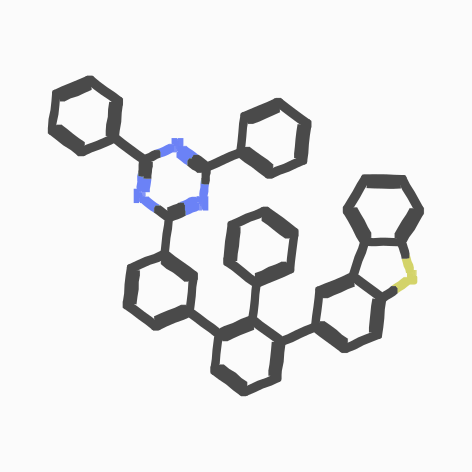 c1ccc(-c2nc(-c3ccccc3)nc(-c3cccc(-c4cccc(-c5ccc6sc7ccccc7c6c5)c4-c4ccccc4)c3)n2)cc1